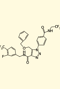 O=C(NCC(F)(F)F)c1ccc(-n2nnc(C(=O)NCc3ccc(C(F)(F)F)c(F)c3)c2COCc2ccccc2)cc1